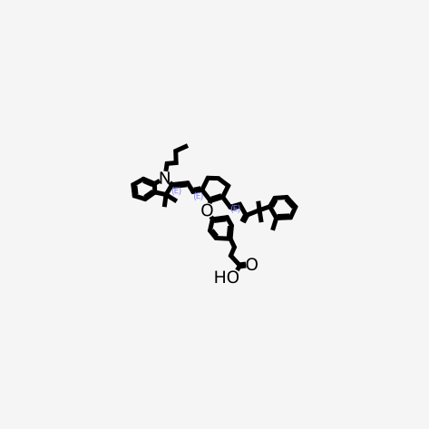 C=C(/C=C/C1=C(Oc2ccc(CCC(=O)O)cc2)C(=C/C=C2/N(CCCC)c3ccccc3C2(C)C)/CCC1)C(C)(C)c1ccccc1C